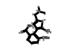 COc1cccc(C(N)=O)c1-c1cc(CN(C)C)sc1[N+](=O)[O-]